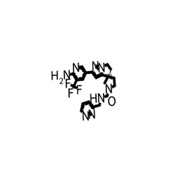 Nc1ncc(-c2cc3n(n2)CC[C@@]32CCN(C(=O)NCc3cccnn3)C2)cc1C(F)(F)F